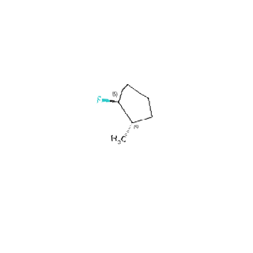 C[C@H]1CCC[C@@H]1F